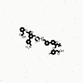 C[C@@H]1CN(Cc2cc(-c3cccc(CN)c3)cc3c(COc4ccccc4CC(=O)O)coc23)C[C@H](CNCc2cccc(-c3ccc4oc(C(C)(C)C)c(COc5cc(F)ccc5CC(=O)O)c4c3)c2)O1